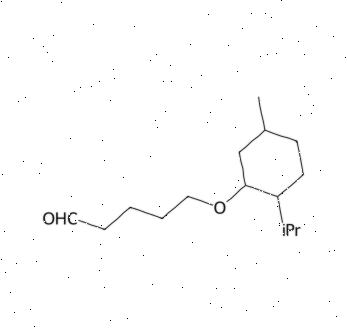 CC1CCC(C(C)C)C(OCCCCC=O)C1